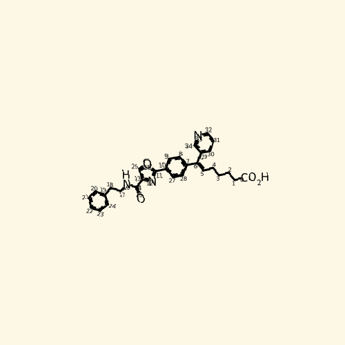 O=C(O)CCCCC=C(c1ccc(-c2nc(C(=O)NCCc3ccccc3)co2)cc1)c1cccnc1